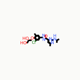 Cc1cc(-c2nc(-c3cc(C)c(OCC(O)CO)c(Cl)c3)no2)nc(NC(C)C)n1